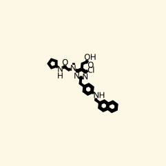 CN(CC(=O)NC1CCCC1)c1nc(Cc2ccc(NCc3ccc4ccccc4c3)cc2)nc(Cl)c1CC(=O)O